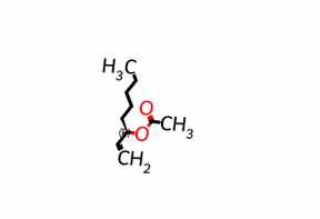 C=C[C@@H](CCCCC)OC(C)=O